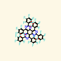 Fc1c(F)c(F)c(-c2nc(-c3c(F)c(F)c(F)c(F)c3F)c3c(n2)c2c(-c4c(F)c(F)c(F)c(F)c4F)nc(-c4c(F)c(F)c(F)c(F)c4F)nc2c2c(-c4c(F)c(F)c(F)c(F)c4F)nc(-c4c(F)c(F)c(F)c(F)c4F)nc32)c(F)c1F